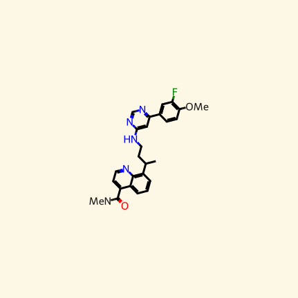 CNC(=O)c1ccnc2c(C(C)CCNc3cc(-c4ccc(OC)c(F)c4)ncn3)cccc12